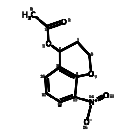 CC(=O)OC1CCOc2c1cccc2[N+](=O)[O-]